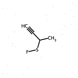 C#CC(C)SF